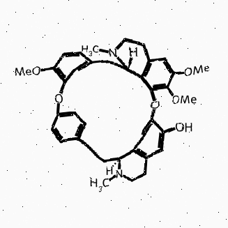 COc1ccc2cc1Oc1ccc(cc1)C[C@H]1c3cc(c(O)cc3CCN1C)Oc1c(OC)c(OC)cc3c1[C@H](C2)N(C)CC3